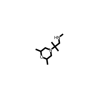 CNCC(C)(C)N1CC(C)OC(C)C1